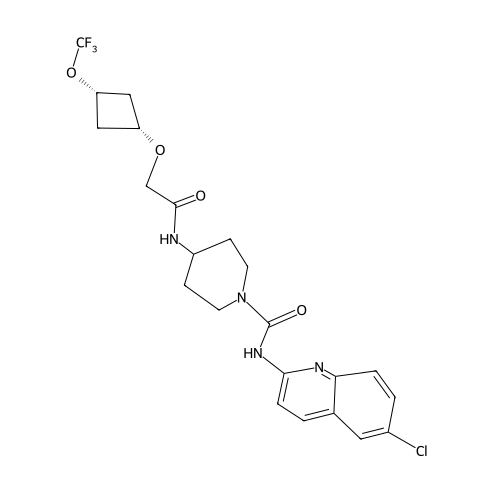 O=C(CO[C@H]1C[C@@H](OC(F)(F)F)C1)NC1CCN(C(=O)Nc2ccc3cc(Cl)ccc3n2)CC1